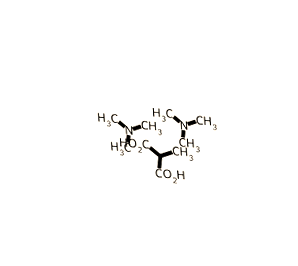 CC(C(=O)O)C(=O)O.CN(C)C.CN(C)C